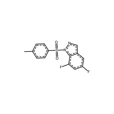 Cc1ccc(S(=O)(=O)n2ncc3cc(F)cc(F)c32)cc1